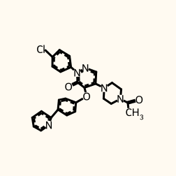 CC(=O)N1CCN(c2cnn(-c3ccc(Cl)cc3)c(=O)c2Oc2ccc(-c3ccccn3)cc2)CC1